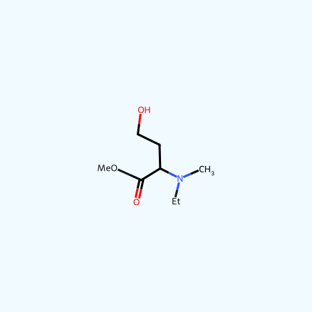 CCN(C)C(CCO)C(=O)OC